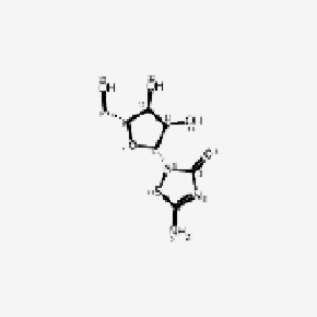 Nc1nc(=O)n([C@@H]2O[C@H](CO)[C@@H](O)[C@H]2O)s1